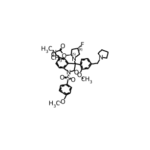 COc1ccc(S(=O)(=O)N2C(=O)C(c3ccc(CN4CCCC4)cc3OC)(N3C[C@H](F)C[C@@H]3OC(=O)N(C)C)c3cc(Cl)ccc32)cc1